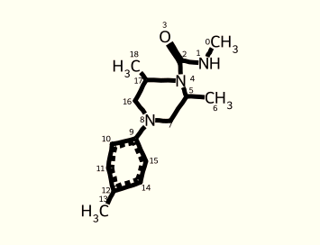 CNC(=O)N1C(C)CN(c2ccc(C)cc2)CC1C